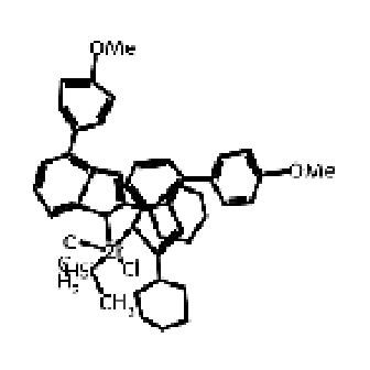 COc1ccc(-c2cccc3c2C=C(C2CCCCC2)[CH]3[Zr]([Cl])([Cl])([CH]2C(C3CCCCC3)=Cc3c(-c4ccc(OC)cc4)cccc32)[SiH](C)C)cc1